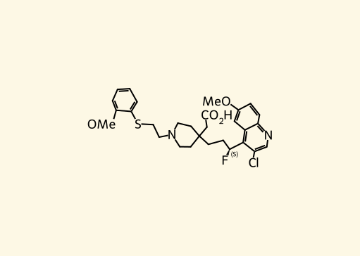 COc1ccc2ncc(Cl)c([C@@H](F)CCC3(CC(=O)O)CCN(CCSc4ccccc4OC)CC3)c2c1